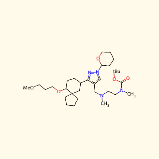 COCCCOC1CCC(c2nn(C3CCCCO3)cc2CN(C)CCN(C)C(=O)OC(C)(C)C)CC12CCCC2